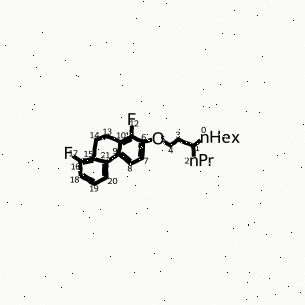 CCCCCCC(CCC)CCOc1ccc2c(c1F)CCc1c(F)cccc1-2